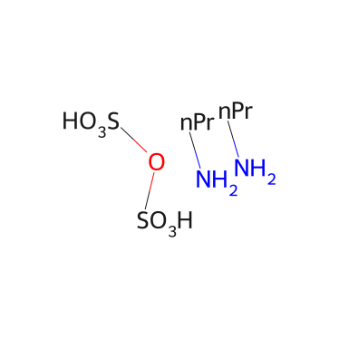 CCCN.CCCN.O=S(=O)(O)OS(=O)(=O)O